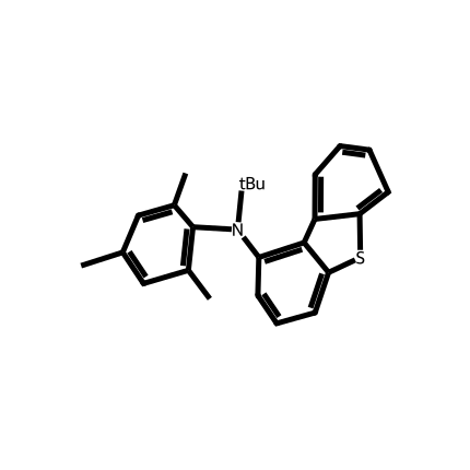 Cc1cc(C)c(N(c2cccc3sc4ccccc4c23)C(C)(C)C)c(C)c1